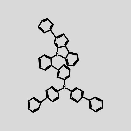 c1ccc(-c2ccc(N(c3ccc(-c4ccccc4)cc3)c3cccc(-c4ccccc4-n4c5ccccc5c5ccc(-c6ccccc6)cc54)c3)cc2)cc1